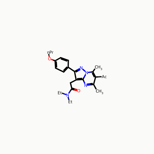 CCCOc1ccc(-c2nn3c(C)c(C(C)=O)c(C)nc3c2CC(=O)N(CC)CC)cc1